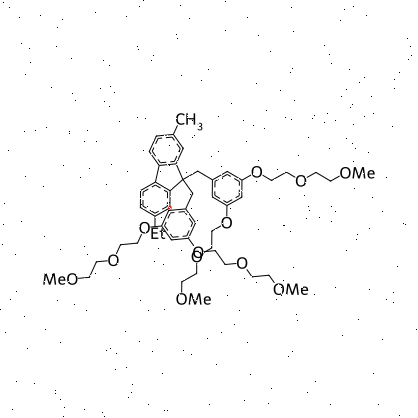 CCc1ccc2c(c1)C(Cc1cc(OCCOCCOC)cc(OCCOCCOC)c1)(Cc1cc(OCCOCCOC)cc(OCCOCCOC)c1)c1cc(C)ccc1-2